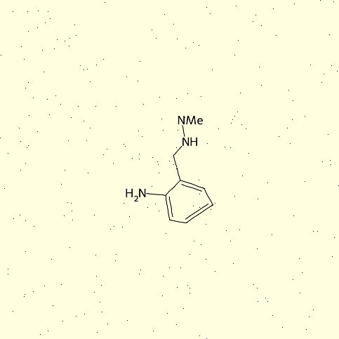 CNNCc1ccccc1N